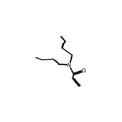 C=[C]C(=O)N(CCCC)CCCC